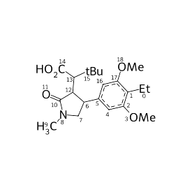 CCc1c(OC)cc(C2CN(C)C(=O)C2C(C(=O)O)C(C)(C)C)cc1OC